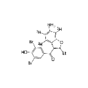 [2H]c1c(N)c([2H])c2oc(CC)c(C(=O)c3cc(Br)c(O)c(Br)c3)c2c1[2H]